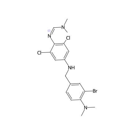 CN(C)/C=N\c1c(Cl)cc(NCc2ccc(N(C)C)c(Br)c2)cc1Cl